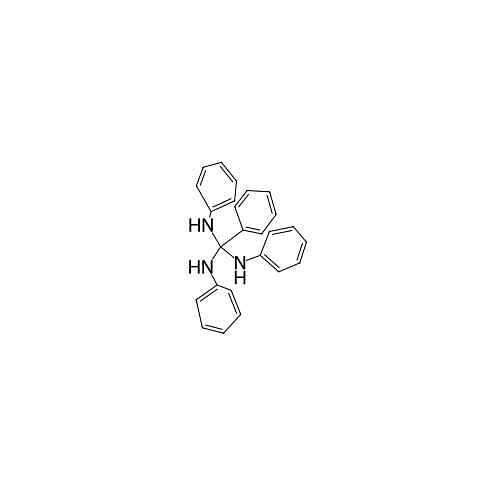 c1ccc(NC(Nc2ccccc2)(Nc2ccccc2)c2ccccc2)cc1